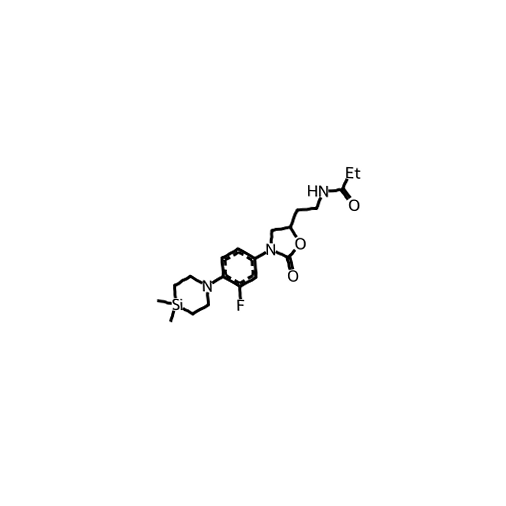 CCC(=O)NCCC1CN(c2ccc(N3CC[Si](C)(C)CC3)c(F)c2)C(=O)O1